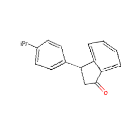 CC(C)c1ccc(C2CC(=O)c3ccccc32)cc1